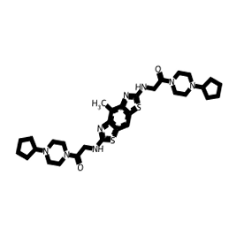 Cc1c2nc(NCC(=O)N3CCN(C4CCCC4)CC3)sc2cc2sc(NCC(=O)N3CCN(C4CCCC4)CC3)nc12